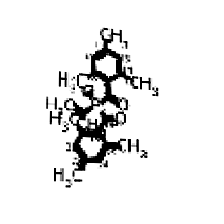 C=C(C)P(=O)(C(=O)c1c(C)cc(C)cc1C)C(=O)c1c(C)cc(C)cc1C